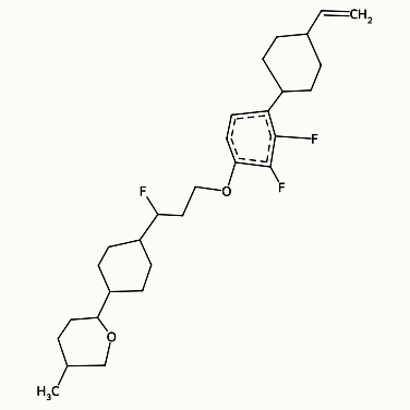 C=CC1CCC(c2ccc(OCCC(F)C3CCC(C4CCC(C)CO4)CC3)c(F)c2F)CC1